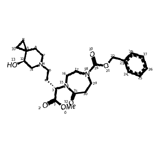 COC(=O)[C@H](CCN1CCC2(CC2)[C@H](O)C1)N1CCN(C(=O)OCc2ccccc2)CCC1=O